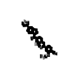 COc1cc([C@@H]2CN3CCN(C(=O)C4CCc5cc(-n6cnnn6)ccc54)C[C@@H]3CO2)ccc1C#N